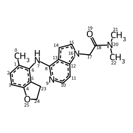 Cc1ccc2c(c1Nc1nccc3c1ccn3CC(=O)N(C)C)CCO2